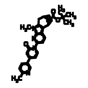 Cc1ccc(-c2ccn(-c3ccc4c5c(n(C)c4n3)CC3CCC5N3C(=O)OC(C)(C)C)c(=O)c2)cn1